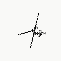 CCCCCC(CO)N(CCO)CCO.CCCCCCCCCCCCCCCCCC(=O)OCC(COC(=O)CCCCCCCCCCCCCCCCC)OC(=O)CCCCCCCCCCCCCCCCC